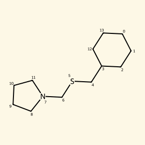 C1CCC(CSCN2CCCC2)CC1